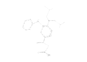 CC(C)CN(CC(C)C)c1ccc(C(C)CC(=O)O)cc1Nc1ncccn1